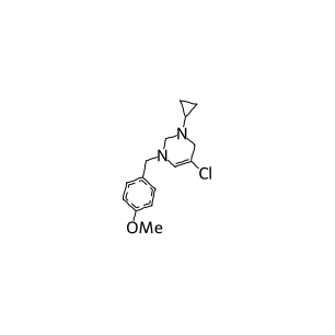 COc1ccc(CN2C=C(Cl)CN(C3CC3)C2)cc1